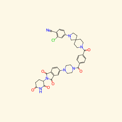 N#Cc1ccc(N2CCC3(CCN(C(=O)c4ccc(C(=O)N5CCN(c6ccc7c(c6)C(=O)N(C6CCC(=O)NC6=O)C7=O)CC5)cc4)CC3)C2)cc1Cl